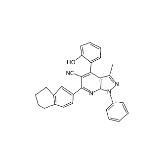 Cc1nn(-c2ccccc2)c2nc(-c3ccc4c(c3)CCCC4)c(C#N)c(-c3ccccc3O)c12